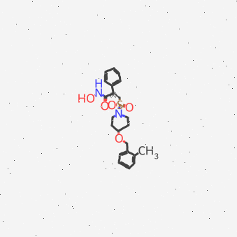 Cc1ccccc1COC1CCN(S(=O)(=O)C[C@@H](C(=O)NO)c2ccccc2)CC1